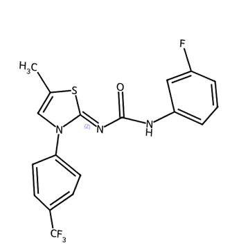 Cc1cn(-c2ccc(C(F)(F)F)cc2)/c(=N/C(=O)Nc2cccc(F)c2)s1